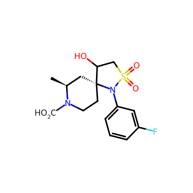 C[C@H]1C[C@]2(CCN1C(=O)O)C(O)CS(=O)(=O)N2c1cccc(F)c1